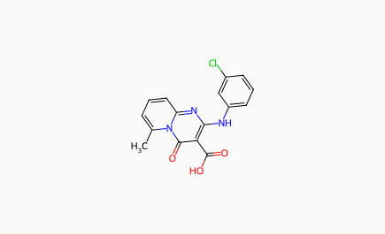 Cc1cccc2nc(Nc3cccc(Cl)c3)c(C(=O)O)c(=O)n12